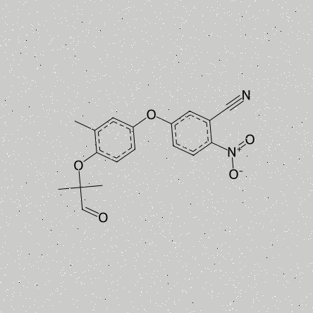 Cc1cc(Oc2ccc([N+](=O)[O-])c(C#N)c2)ccc1OC(C)(C)C=O